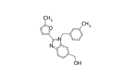 Cc1cccc(Cn2c(-c3ccc(C)o3)nc3ccc(CO)cc32)c1